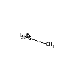 CCCCCCCCCCCCCCCCSCC(CSBr)OC